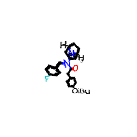 CC(C)COc1ccc(CC(=O)N(Cc2ccc(F)cc2)C2C[C@H]3CC[C@@H](C2)N3C)cc1